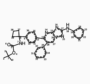 CC(C)(C)OC(=O)NC1(c2ccc(-c3nc4nc(Nc5ccccc5)nn4cc3-c3ccccc3)cc2)CCC1